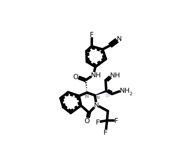 N#Cc1cc(NC(=O)[C@H]2c3ccccc3C(=O)N(CC(F)(F)F)[C@@H]2/C(C=N)=C/N)ccc1F